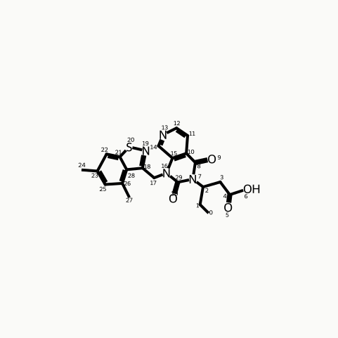 CCC(CC(=O)O)n1c(=O)c2ccncc2n(Cc2nsc3cc(C)cc(C)c23)c1=O